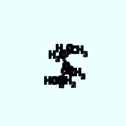 COc1cc(CC[C@@](N)(CO)CC2CCC2)ccc1OCCCC(C)CCCC(C)C